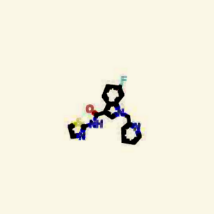 O=C(Nc1nccs1)c1cn(Cc2ccccn2)c2cc(F)ccc12